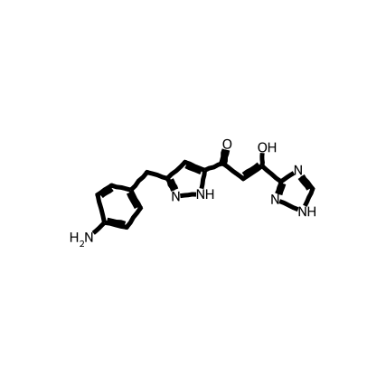 Nc1ccc(Cc2cc(C(=O)C=C(O)c3nc[nH]n3)[nH]n2)cc1